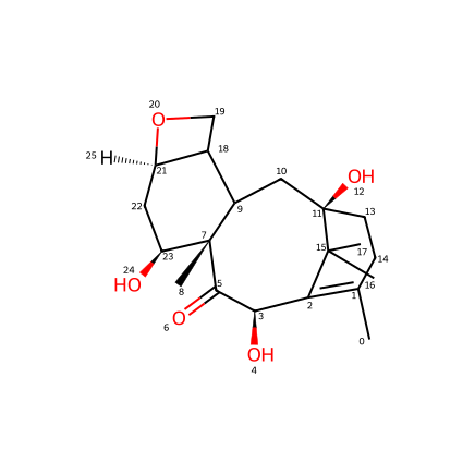 CC1=C2[C@@H](O)C(=O)[C@@]3(C)C(C[C@](O)(CC1)C2(C)C)C1CO[C@@H]1C[C@@H]3O